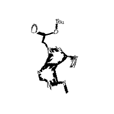 C=Nc1ncnc2c1c(Br)nn2CC(=O)OC(C)(C)C